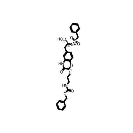 O=C(NCCC[C@H]1Oc2ccc(C[C@H](NS(=O)(=O)Cc3ccccc3)C(=O)O)cc2NC1=O)OCc1ccccc1